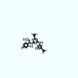 OCC(Nc1nc(Nc2cc(C3CC3)[nH]n2)nc(C2CC2)n1)c1ccc(F)cc1